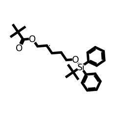 CC(C)(C)C(=O)OC[CH]CCCO[Si](c1ccccc1)(c1ccccc1)C(C)(C)C